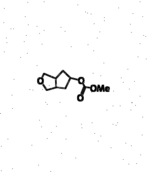 COC(=O)OC1CC2COCC2C1